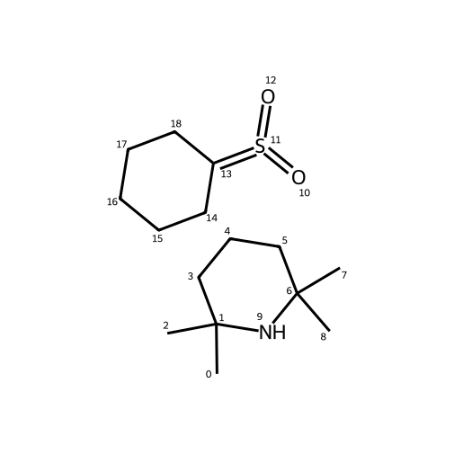 CC1(C)CCCC(C)(C)N1.O=S(=O)=C1CCCCC1